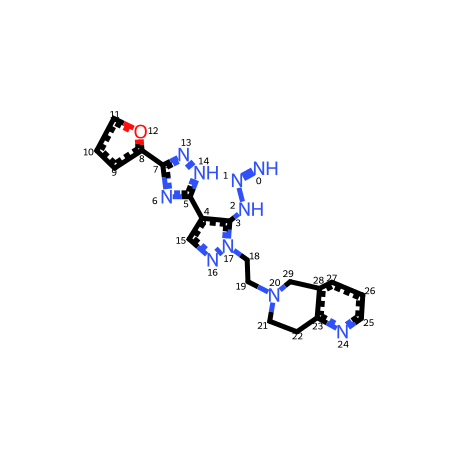 N=NNc1c(-c2nc(-c3ccco3)n[nH]2)cnn1CCN1CCc2ncccc2C1